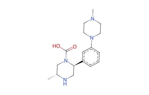 C[C@@H]1CN(C(=O)O)[C@@H](c2cccc(N3CCN(C)CC3)c2)CN1